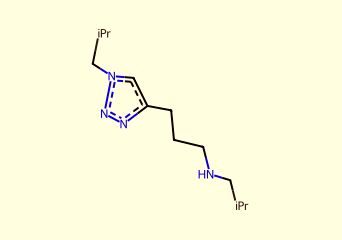 CC(C)CNCCCc1cn(CC(C)C)nn1